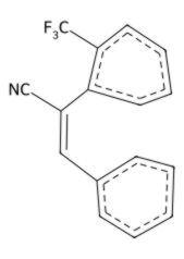 N#CC(=Cc1ccccc1)c1ccccc1C(F)(F)F